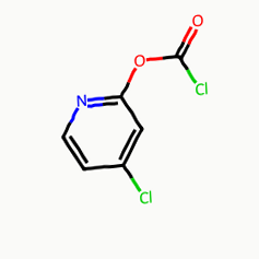 O=C(Cl)Oc1cc(Cl)ccn1